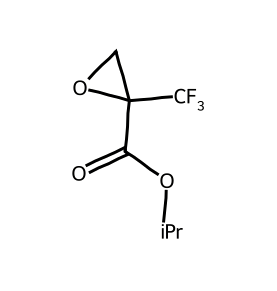 CC(C)OC(=O)C1(C(F)(F)F)CO1